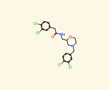 O=C(Cc1ccc(Cl)c(Cl)c1)NCC1CN(Cc2ccc(Cl)c(Cl)c2)CCO1